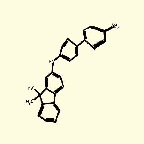 Bc1ccc(-c2ccc(Nc3ccc4c(c3)C(C)(C)c3ccccc3-4)cc2)cc1